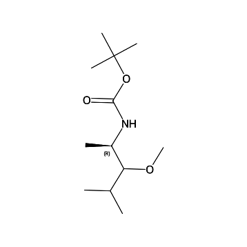 COC(C(C)C)[C@@H](C)NC(=O)OC(C)(C)C